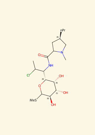 CCC[C@@H]1CC(C(=O)NC(C(C)Cl)[C@H]2OC(SC)[C@H](O)[C@@H](O)[C@H]2O)N(C)C1